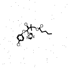 CCCCC(=O)OCC(C)(C)C(=O)C(Oc1ccc(Cl)cc1)n1cncn1